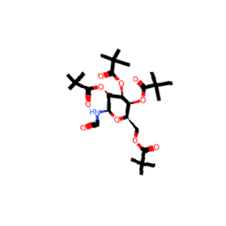 CC(C)(C)C(=O)OC[C@H]1O[C@@H](NC=O)[C@H](OC(=O)C(C)(C)C)[C@@H](OC(=O)C(C)(C)C)[C@H]1OC(=O)C(C)(C)C